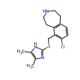 Cc1nc(SCc2c(Cl)ccc3c2CCNCC3)[nH]c1C